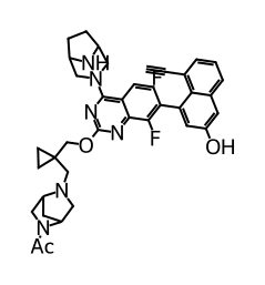 C#Cc1cccc2cc(O)cc(-c3c(F)cc4c(N5CC6CCC(C5)N6)nc(OCC5(CN6CC7CC6CN7C(C)=O)CC5)nc4c3F)c12